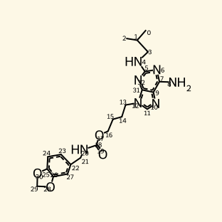 CC(C)CNc1nc(N)c2ncn(CCCCOC(=O)NCc3ccc4c(c3)OCO4)c2n1